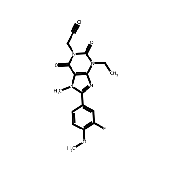 C#CCn1c(=O)c2c(nc(-c3ccc(OC)c(F)c3)n2C)n(CC)c1=O